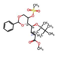 COC(=O)/C=C/[C@H](O[Si](C)(C)C(C)(C)C)[C@@H]1OC(c2ccccc2)OCC1OS(C)(=O)=O